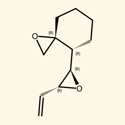 C=C[C@H]1O[C@@H]1[C@H]1CCCC[C@]12CO2